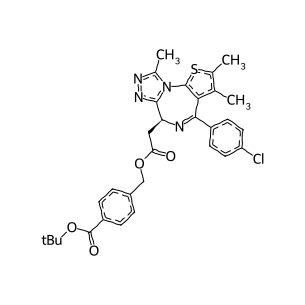 Cc1sc2c(c1C)C(c1ccc(Cl)cc1)=N[C@@H](CC(=O)OCc1ccc(C(=O)OC(C)(C)C)cc1)c1nnc(C)n1-2